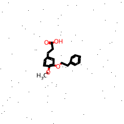 COc1ccc(CCC(=O)O)cc1OCCc1ccccc1